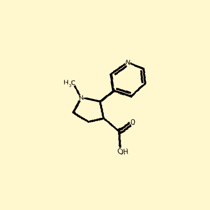 CN1CCC(C(=O)O)C1c1cccnc1